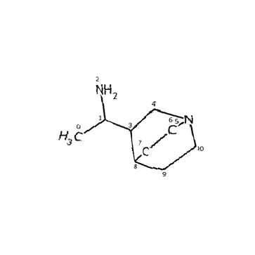 CC(N)C1CN2CCC1CC2